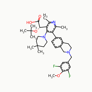 COc1c(F)cc(CN2CCc3cc(-c4c(C)nc(C)c([C@H](OC(C)(C)C)C(=O)O)c4N4CCC(C)(C)CC4)ccc3C2)cc1F